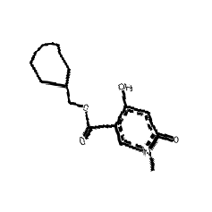 Cn1cc(C(=O)OCC2CCCCC2)c(O)cc1=O